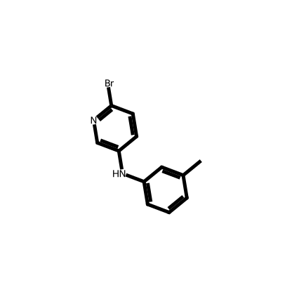 Cc1cccc(Nc2ccc(Br)nc2)c1